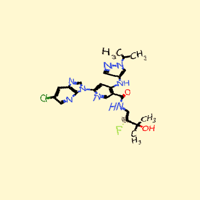 CC(C)n1cc(Nc2cc(-n3cnc4cc(Cl)cnc43)ncc2C(=O)NC[C@@H](F)C(C)(C)O)cn1